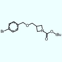 CC(C)(C)OC(=O)N1CC(COCc2ccc(Br)cc2)C1